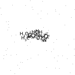 Cc1cc2cc(NC(=O)Nc3ccnc4ccccc34)ccc2n1C.Cl